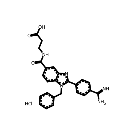 Cl.N=C(N)c1ccc(-c2nc3cc(C(=O)NCCC(=O)O)ccc3n2Cc2ccccc2)cc1